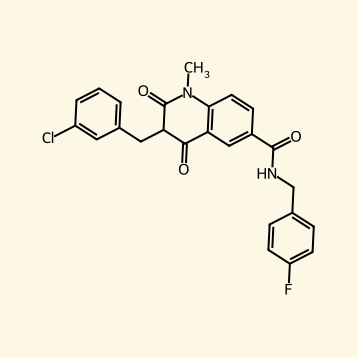 CN1C(=O)C(Cc2cccc(Cl)c2)C(=O)c2cc(C(=O)NCc3ccc(F)cc3)ccc21